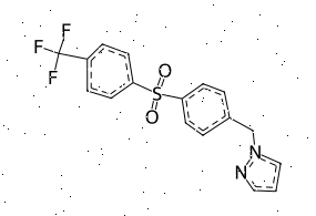 O=S(=O)(c1ccc(Cn2cccn2)cc1)c1ccc(C(F)(F)F)cc1